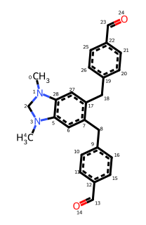 CN1CN(C)c2cc(Cc3ccc(C=O)cc3)c(Cc3ccc(C=O)cc3)cc21